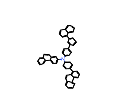 c1cc(-c2ccc(N(c3ccc(-c4cccc5c4ccc4ccccc45)cc3)c3ccc4c(ccc5ccccc54)c3)cc2)cc(-c2cccc3ccccc23)c1